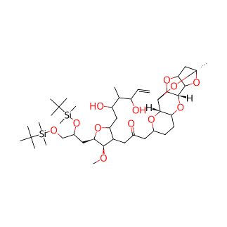 C=CC(O)C(C)C(O)CC1O[C@H](CC(CO[Si](C)(C)C(C)(C)C)O[Si](C)(C)C(C)(C)C)[C@H](OC)C1CC(=O)CC1CCC2O[C@H]3C4O[C@]5(C)CC4OC3C(O5)[C@H]2O1